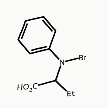 CCC(C(=O)O)N(Br)c1ccccc1